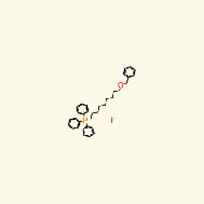 [I-].c1ccc(COCCCCCCCCC[P+](c2ccccc2)(c2ccccc2)c2ccccc2)cc1